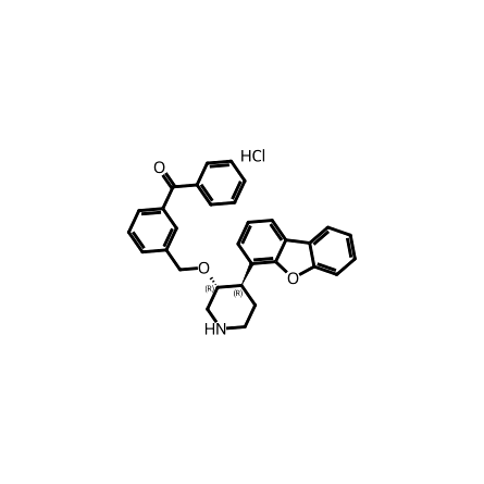 Cl.O=C(c1ccccc1)c1cccc(CO[C@H]2CNCC[C@@H]2c2cccc3c2oc2ccccc23)c1